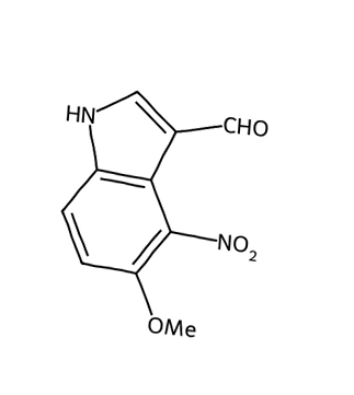 COc1ccc2[nH]cc(C=O)c2c1[N+](=O)[O-]